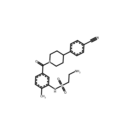 Cc1ccc(C(=O)N2CCC(c3ccc(C#N)cc3)CC2)cc1NS(=O)(=O)CCN